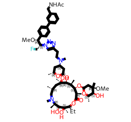 CC[C@H]1OC(=O)[C@H](C)[C@@H](O[C@H]2C[C@@](C)(OC)[C@@H](O)[C@H](C)O2)[C@H](C)[C@@H](O[C@H]2C[C@@H](N(C)CCc3cn([C@H](CF)[C@H](OC)c4ccc(-c5cccc(CNC(C)=O)c5)cc4)nn3)C[C@@H](C)O2)[C@](C)(O)C[C@@H](C)CN(C)[C@H](C)[C@@H](O)[C@]1(C)O